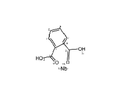 O=C(O)c1ccccc1C(=O)O.[Nb]